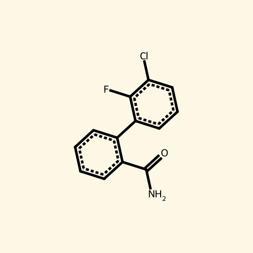 NC(=O)c1ccccc1-c1cccc(Cl)c1F